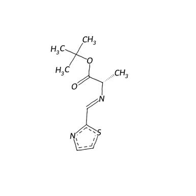 C[C@H](/N=C/c1nccs1)C(=O)OC(C)(C)C